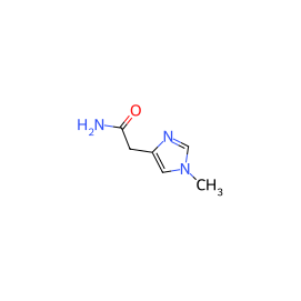 Cn1cnc(CC(N)=O)c1